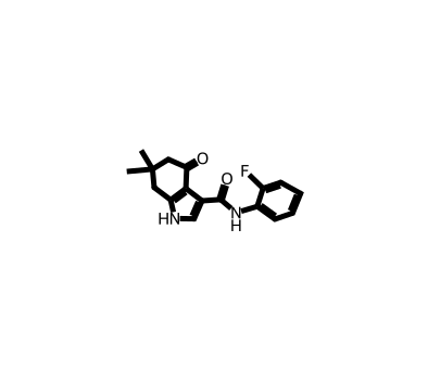 CC1(C)CC(=O)c2c(C(=O)Nc3ccccc3F)c[nH]c2C1